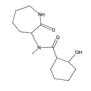 CN(C(=O)C1CCCCC1O)C1CCCCNC1=O